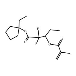 C=C(C)C(=O)OC(CC)C(F)(F)C(=O)OC1(CC)CCCC1